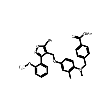 COC(=O)c1ccc(CN(C)c2ccc(OCc3c(-c4ccccc4OC(F)(F)F)noc3C(C)C)cc2C)cc1